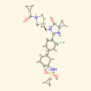 O=C(C1CC1)N1CC[C@@H](CN2C(=O)C3(CC3)N=C2c2ccc(-c3cccc(NS(=O)(=O)C4CC4)c3)cc2F)C1